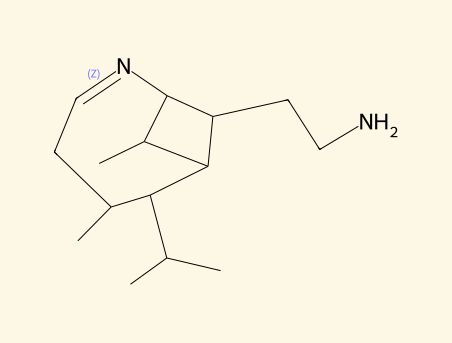 CC(C)C1C(C)C/C=N\C2C(C)C1C2CCN